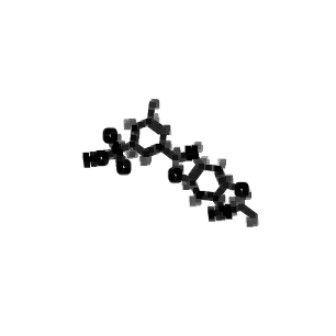 Cc1cc(-c2nc3cc4c(cc3o2)NC(C)O4)cc(S(=O)(=O)O)c1